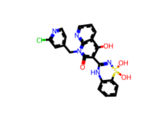 O=c1c(C2=NS(O)(O)c3ccccc3N2)c(O)c2cccnc2n1Cc1ccnc(Cl)c1